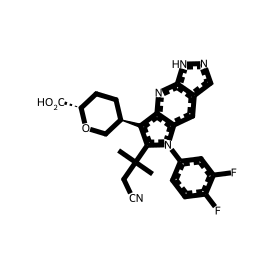 CC(C)(CC#N)c1c([C@@H]2CC[C@@H](C(=O)O)OC2)c2nc3[nH]ncc3cc2n1-c1ccc(F)c(F)c1